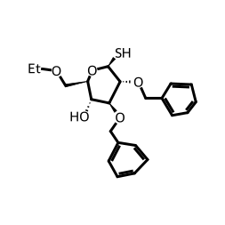 CCOC[C@H]1O[C@@H](S)[C@H](OCc2ccccc2)[C@@H](OCc2ccccc2)[C@@H]1O